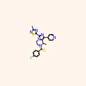 Cc1nsc(-c2nc(-c3ccncc3)c3n2CCN(C(=S)c2ccc(F)cc2)C3C)n1